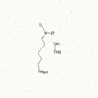 CCCCCCCCCCCCN(CC)CC.O=CO